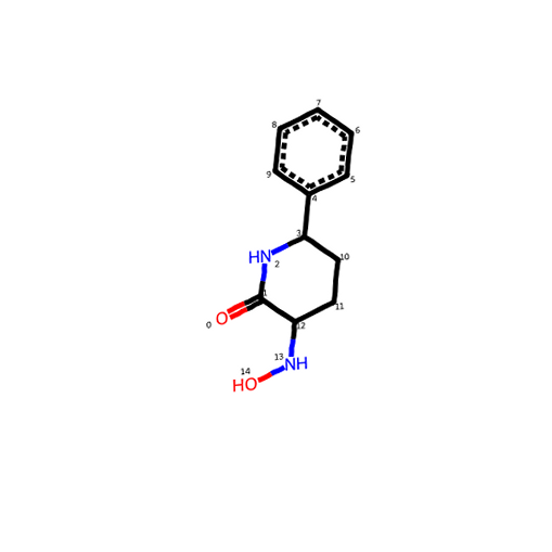 O=C1NC(c2ccccc2)CCC1NO